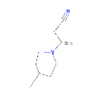 C=C(CC#N)N1CCC(C)CC1